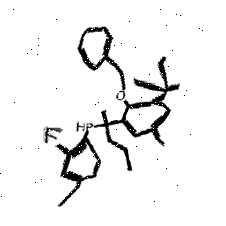 CCCC(C)(Pc1ccc(C)cc1F)c1cc(C)cc(C(C)(C)C)c1OCc1ccccc1